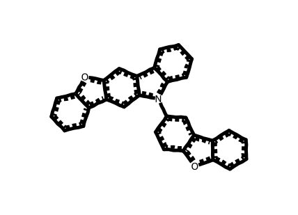 c1ccc2c(c1)oc1ccc(-n3c4ccccc4c4cc5oc6ccccc6c5cc43)cc12